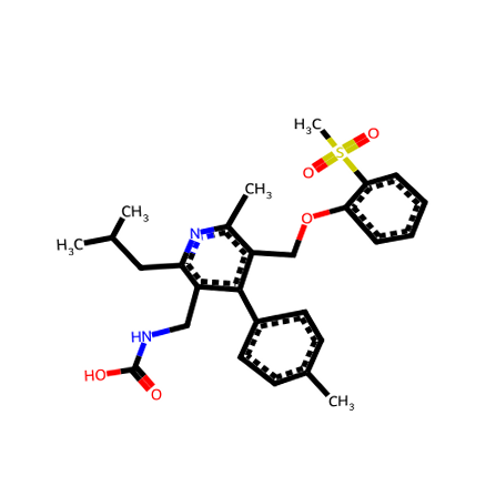 Cc1ccc(-c2c(COc3ccccc3S(C)(=O)=O)c(C)nc(CC(C)C)c2CNC(=O)O)cc1